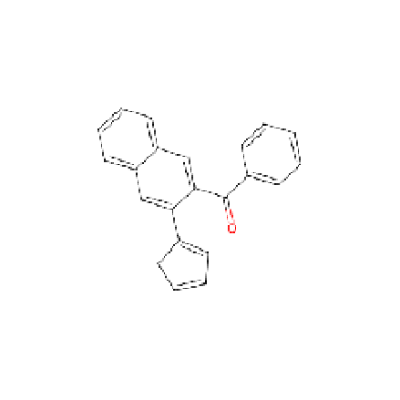 O=C(c1ccccc1)c1cc2ccccc2cc1C1=CC=CC1